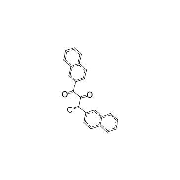 O=C(C(=O)c1ccc2ccccc2c1)C(=O)c1ccc2ccccc2c1